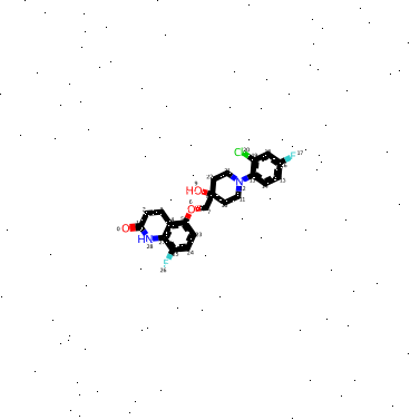 O=C1CCc2c(OCC3(O)CCN(c4ccc(F)cc4Cl)CC3)ccc(F)c2N1